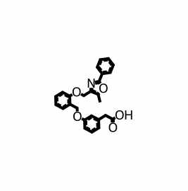 Cc1oc(-c2ccccc2)nc1COc1ccccc1COc1cccc(CC(=O)O)c1